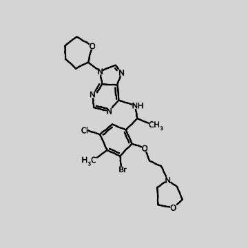 Cc1c(Cl)cc(C(C)Nc2ncnc3c2ncn3C2CCCCO2)c(OCCN2CCOCC2)c1Br